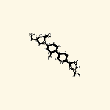 CCCn1nnc(-c2ccc(-c3ccc(N4C[C@H](CN)OC4=O)cc3F)cn2)n1